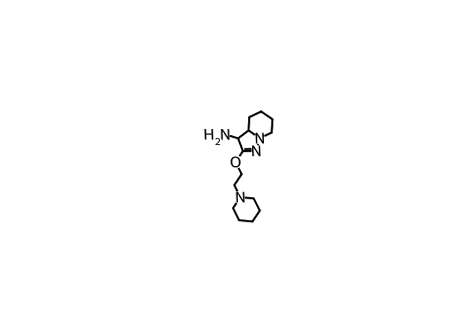 NC1C(OCCN2CCCCC2)=NN2CCCCC12